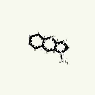 Nn1cnc2nc3ccccc3cc21